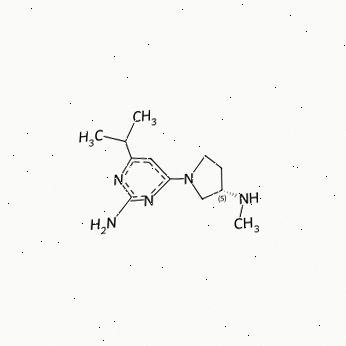 CN[C@H]1CCN(c2cc(C(C)C)nc(N)n2)C1